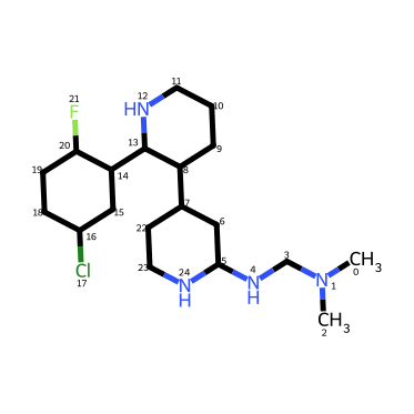 CN(C)CNC1CC(C2CCCNC2C2CC(Cl)CCC2F)CCN1